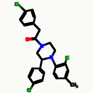 Cc1ccc(N2CCN(C(=O)Cc3ccc(Cl)cc3)CC2c2ccc(Cl)cc2)c(Cl)c1